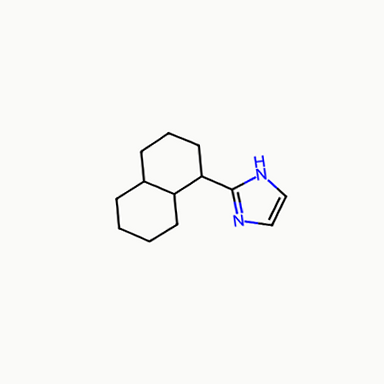 c1c[nH]c(C2CCCC3CCCCC32)n1